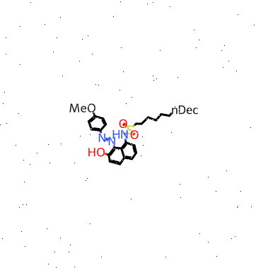 CCCCCCCCCCCCCCCCS(=O)(=O)Nc1cccc2ccc(O)c(N=Nc3ccc(OC)cc3)c12